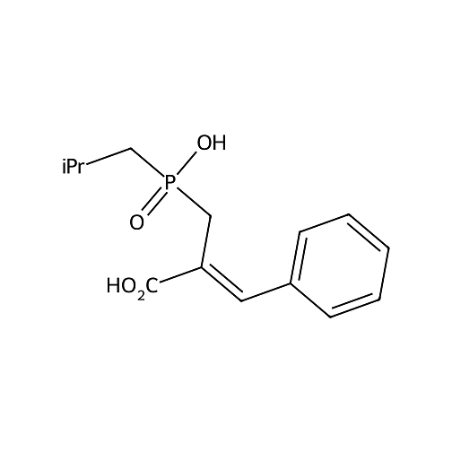 CC(C)CP(=O)(O)CC(=Cc1ccccc1)C(=O)O